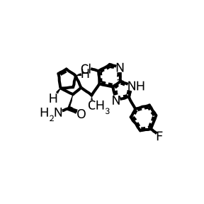 C[C@@H](c1c(Cl)cnc2[nH]c(-c3ccc(F)cc3)nc12)C1[C@@H](C(N)=O)[C@@H]2C=C[C@H]1C2